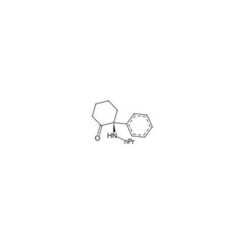 CCCN[C@]1(c2ccccc2)CCCCC1=O